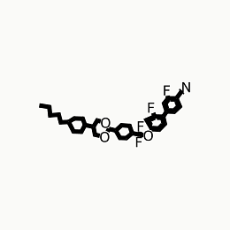 CCCCCC1CCC(C2COC(C3CCC(C(F)(F)Oc4ccc(-c5ccc(C#N)c(F)c5)c(F)c4)CC3)OC2)CC1